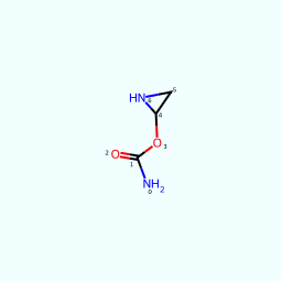 NC(=O)OC1CN1